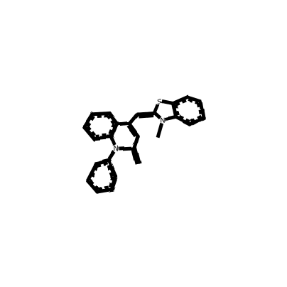 C=C1C=C(/C=C2/Sc3ccccc3N2C)c2ccccc2N1c1ccccc1